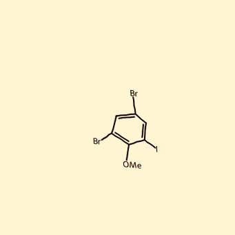 COc1c(Br)cc(Br)cc1I